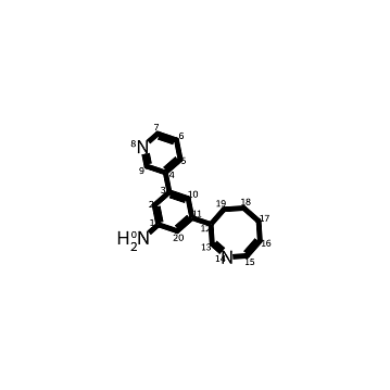 Nc1cc(-c2cccnc2)cc(C2/C=N\C=C/CCC2)c1